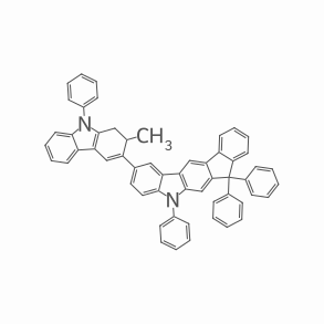 CC1Cc2c(c3ccccc3n2-c2ccccc2)C=C1c1ccc2c(c1)c1cc3c(cc1n2-c1ccccc1)C(c1ccccc1)(c1ccccc1)c1ccccc1-3